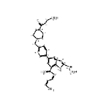 C=C(/N=C\C=C/N)c1cc(-c2ccc(CN3CCN(C(=O)CCC(=O)O)CC3)nc2)cc2nc(NC(=O)OCC)[nH]c12